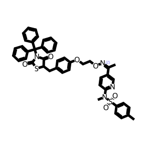 C/C(=N/OCCOc1ccc(CC2SC(=O)N(C(c3ccccc3)(c3ccccc3)c3ccccc3)C2=O)cc1)c1ccc(N(C)S(=O)(=O)c2ccc(C)cc2)nc1